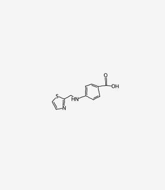 O=C(O)c1ccc(NCc2nccs2)cc1